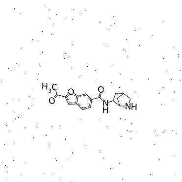 CC(=O)c1cc2ccc(C(=O)NC3CC4CNC3C4)cc2o1